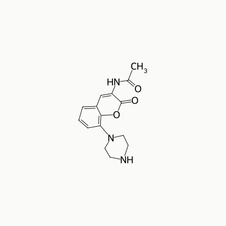 CC(=O)Nc1cc2cccc(N3CCNCC3)c2oc1=O